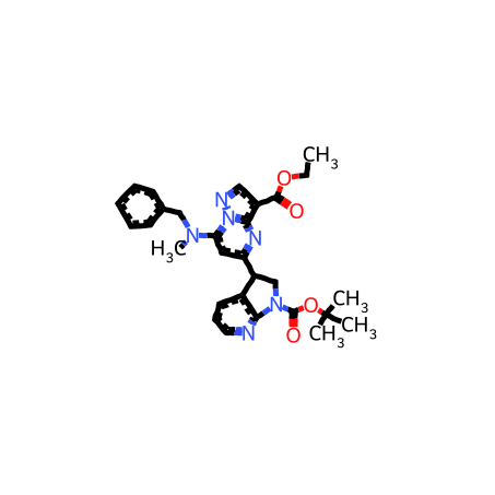 CCOC(=O)c1cnn2c(N(C)Cc3ccccc3)cc(C3CN(C(=O)OC(C)(C)C)c4ncccc43)nc12